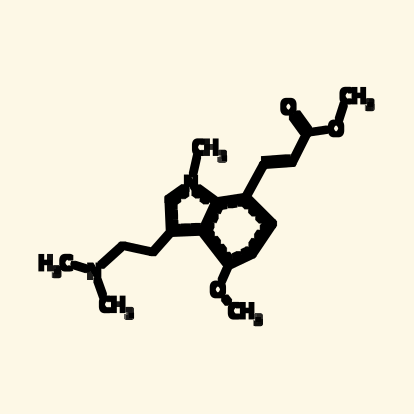 COC(=O)C=Cc1ccc(OC)c2c(CCN(C)C)cn(C)c12